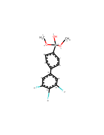 CO[Si](O)(OC)c1ccc(-c2cc(F)c(F)c(F)c2)cc1